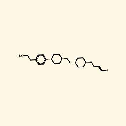 CCCc1ccc([C@H]2CC[C@H](CC[C@H]3CC[C@H](CCC=CF)CC3)CC2)cc1